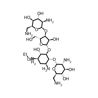 CCO.NC[C@@H]1O[C@H](O[C@H]2[C@@H](O)[C@H](O[C@@H]3[C@@H](O)[C@H](N)C[C@H](N)[C@H]3O[C@H]3O[C@H](CN)[C@@H](O)[C@H](O)[C@H]3N)O[C@@H]2CO)[C@H](N)[C@@H](O)[C@@H]1O